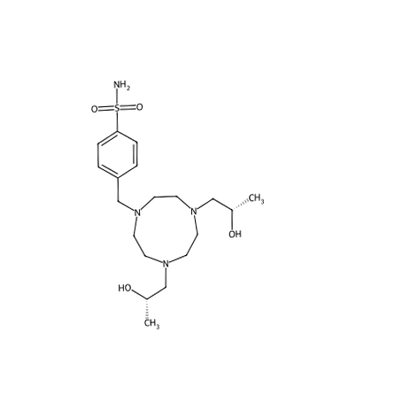 C[C@H](O)CN1CCN(Cc2ccc(S(N)(=O)=O)cc2)CCN(C[C@H](C)O)CC1